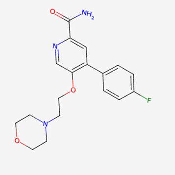 NC(=O)c1cc(-c2ccc(F)cc2)c(OCCN2CCOCC2)cn1